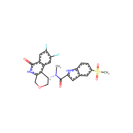 CN(C(=O)c1cc2cc(S(C)(=O)=O)ccc2[nH]1)[C@@H]1COCc2[nH]c(=O)c3cc(F)c(F)cc3c21